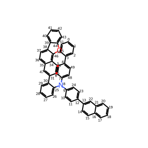 c1ccc(-c2ccc(N(c3ccc(-c4ccc5ccccc5c4)cc3)c3ccccc3-c3ccc4c(ccc5c6ccccc6oc45)c3)cc2)cc1